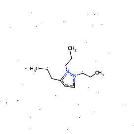 CCCc1cc[n+](CCC)n1CCC